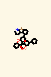 C1=CC2C(C=C1c1cccc3sc4ncccc4c13)Oc1ccccc1C21c2ccccc2Oc2cc(-c3ccccc3)ccc21